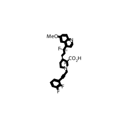 COc1ccc2nccc([C@@H](F)CC[C@@H]3CCN(CC#Cc4cccc(F)c4F)C[C@@H]3C(=O)O)c2c1